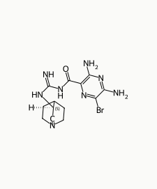 N=C(NC(=O)c1nc(Br)c(N)nc1N)N[C@@H]1CN2CCC1CC2